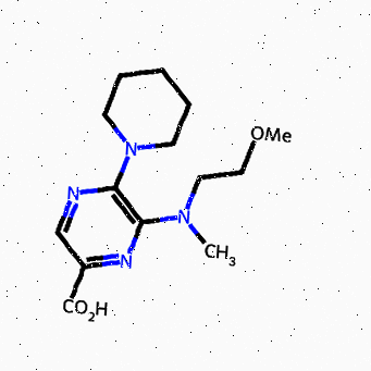 COCCN(C)c1nc(C(=O)O)cnc1N1CCCCC1